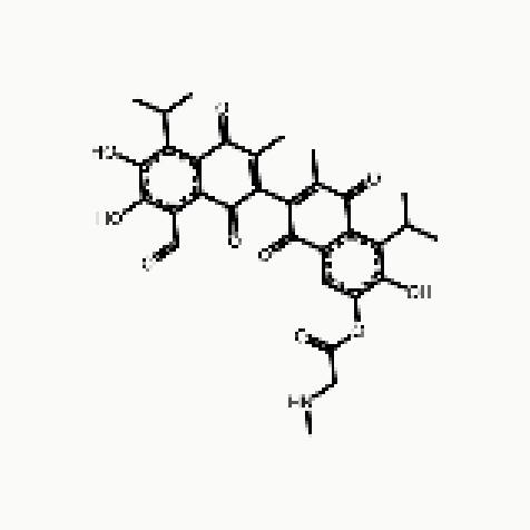 CNCC(=O)Oc1cc2c(c(C(C)C)c1O)C(=O)C(C)=C(C1=C(C)C(=O)c3c(c(C=O)c(O)c(O)c3C(C)C)C1=O)C2=O